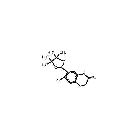 CC1(C)OB(c2cc3c(cc2Cl)CCC(=O)N3)OC1(C)C